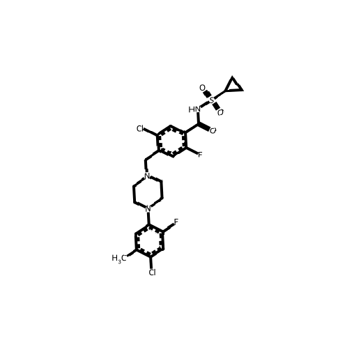 Cc1cc(N2CCN(Cc3cc(F)c(C(=O)NS(=O)(=O)C4CC4)cc3Cl)CC2)c(F)cc1Cl